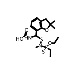 CCOP(=S)(CC)N(C)SC(NC(=O)O)c1cccc2c1OC(C)(C)C2